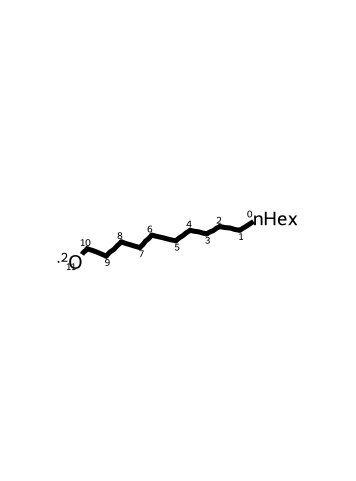 CCCCCCCCCCCCCCCC[2O]